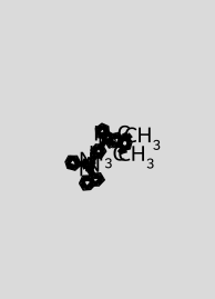 CC1(C)CCC(C)(C)c2cc3c(cc21)c1ccccc1n3-c1ccc(-c2nc(-c3ccccc3)nc(-c3cccc4ccccc34)n2)cc1